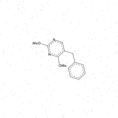 COc1ncc(Cc2ccccc2)c(OC)n1